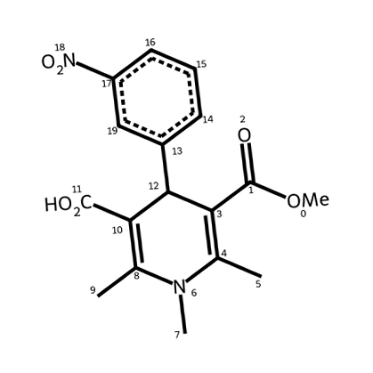 COC(=O)C1=C(C)N(C)C(C)=C(C(=O)O)C1c1cccc([N+](=O)[O-])c1